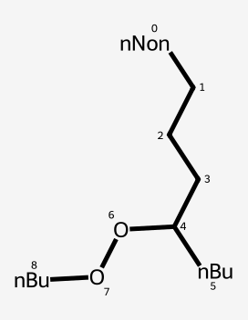 CCCCCCCCCCCCC(CCCC)OOCCCC